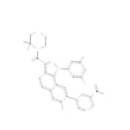 COc1cc2ccc3c(C(=O)N4CCOCC4(C)C)nn(-c4cc(Cl)cc(Cl)c4)c3c2cc1-c1cncc(C(N)=O)c1